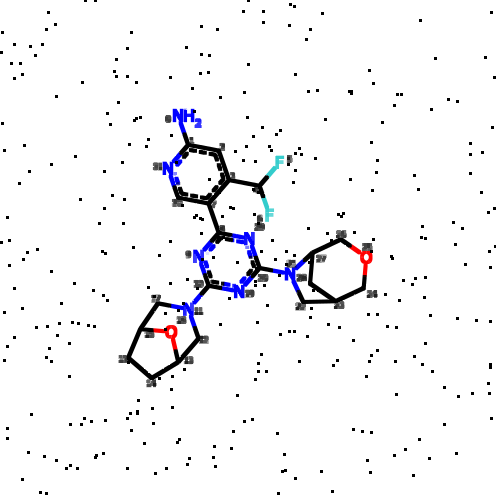 Nc1cc(C(F)F)c(-c2nc(N3CC4CCC(C3)O4)nc(N3CC4COCC3C4)n2)cn1